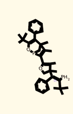 CC1=C(C2=C(C)C(C)(/C(=C(\P)C(C)(C)C)c3ccccc3)CO2)P2CC1(C)C(c1ccccc1)=C(C(C)(C)C)O2